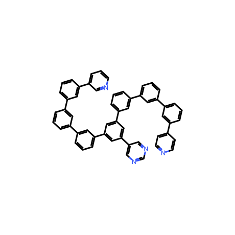 c1cncc(-c2cccc(-c3cccc(-c4cccc(-c5cc(-c6cncnc6)cc(-c6cccc(-c7cccc(-c8cccc(-c9ccncc9)c8)c7)c6)c5)c4)c3)c2)c1